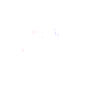 CN[C@H]1[C@@H](O)[C@@H](O)O[C@H]1C(C)=O